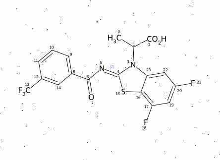 CC(C(=O)O)n1/c(=N/C(=O)c2cccc(C(F)(F)F)c2)sc2c(F)cc(F)cc21